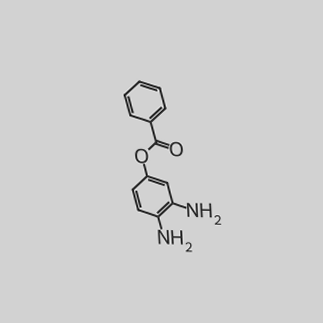 Nc1ccc(OC(=O)c2ccccc2)cc1N